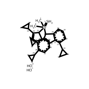 Cl.Cl.[CH3][Zr]([CH3])(=[SiH2])([CH]1C(C2CC2)=Cc2c(C3CC3)cccc21)[CH]1C(C2CC2)=Cc2c(C3CC3)cccc21